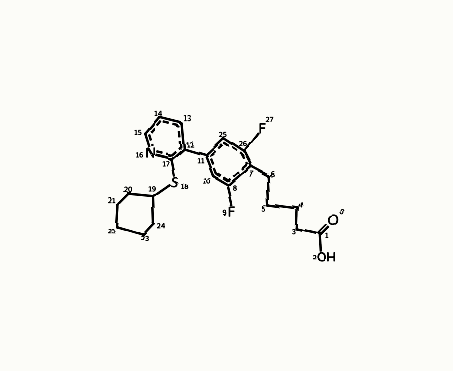 O=C(O)CCCCc1c(F)cc(-c2cccnc2SC2CCCCC2)cc1F